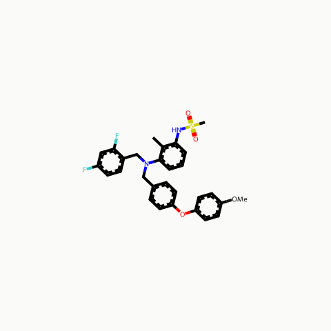 COc1ccc(Oc2ccc(CN(Cc3ccc(F)cc3F)c3cccc(NS(C)(=O)=O)c3C)cc2)cc1